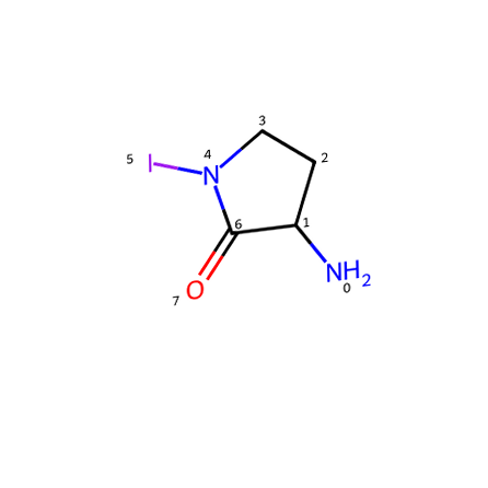 NC1CCN(I)C1=O